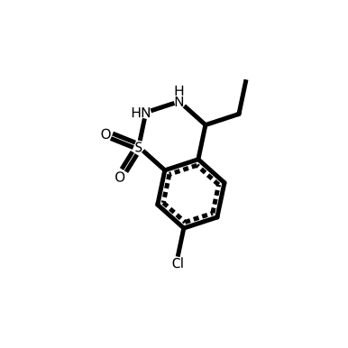 CCC1NNS(=O)(=O)c2cc(Cl)ccc21